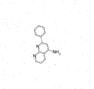 Nc1cc(-c2ccccc2)nc2ncccc12